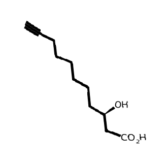 C#CCCCCCC[C@@H](O)CC(=O)O